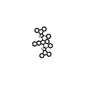 c1ccc(-c2c(-c3c4ccccc4c(-c4oc5c6ccccc6c6ccccc6c5c4-c4ccccc4)c4cc5ccccc5cc34)oc3c4ccccc4c4ccccc4c23)cc1